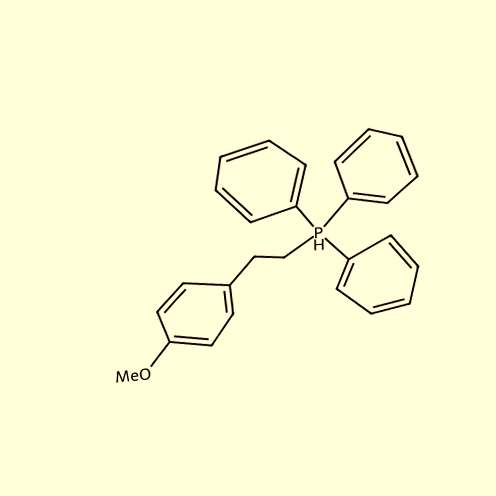 COc1ccc(CC[PH](c2ccccc2)(c2ccccc2)c2ccccc2)cc1